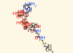 CC/C(C)=C\CSCCNC(=O)CCNC(=O)C(O)C(C)(C)COP(=O)(O)OP(=O)(O)OC[C@H]1O[C@@H](n2cnc3c(N)ncnc32)[C@H](O)[C@@H]1OP(=O)(O)O